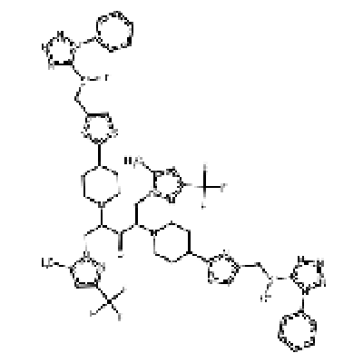 Cc1cc(C(F)(F)F)nn1CC(C(=O)C(Cn1nc(C(F)(F)F)cc1C)N1CCC(c2nc(C[S+]([O-])c3nnnn3-c3ccccc3)cs2)CC1)N1CCC(c2nc(C[S+]([O-])c3nnnn3-c3ccccc3)cs2)CC1